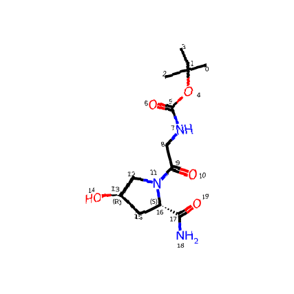 CC(C)(C)OC(=O)NCC(=O)N1C[C@H](O)C[C@H]1C(N)=O